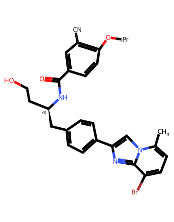 Cc1ccc(Br)c2nc(-c3ccc(C[C@@H](CCO)NC(=O)c4ccc(OC(C)C)c(C#N)c4)cc3)cn12